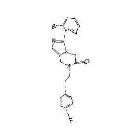 O=C1Cn2c(cnc2-c2ccccc2Br)CN1CCc1ccc(F)cc1